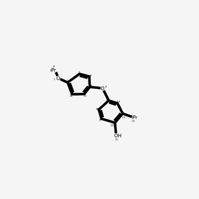 CC(C)Oc1ccc(Oc2ccc(O)c(C(C)C)c2)cc1